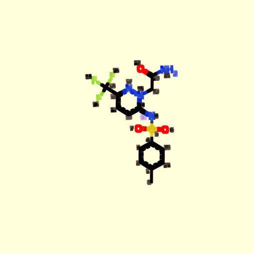 Cc1ccc(S(=O)(=O)/N=c2\ccc(C(F)(F)F)nn2CC(N)=O)cc1